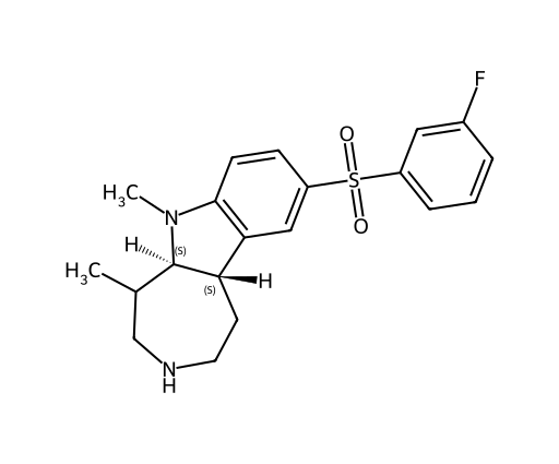 CC1CNCC[C@H]2c3cc(S(=O)(=O)c4cccc(F)c4)ccc3N(C)[C@H]12